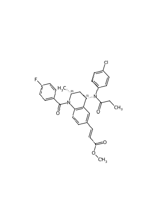 CCC(=O)N(c1ccc(Cl)cc1)[C@H]1C[C@@H](C)N(C(=O)c2ccc(F)cc2)c2ccc(C=CC(=O)OC)cc21